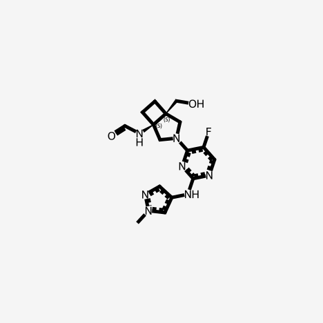 Cn1cc(Nc2ncc(F)c(N3C[C@@]4(CO)CC[C@@]4(NC=O)C3)n2)cn1